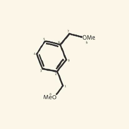 COCc1c[c]cc(COC)c1